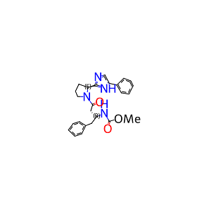 COC(=O)N[C@@H](CC(=O)N1CCC[C@H]1c1ncc(-c2ccccc2)[nH]1)Cc1ccccc1